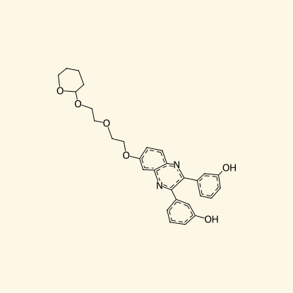 Oc1cccc(-c2nc3ccc(OCCOCCOC4CCCCO4)cc3nc2-c2cccc(O)c2)c1